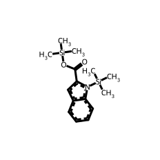 C[Si](C)(C)OC(=O)c1cc2ccccc2n1[Si](C)(C)C